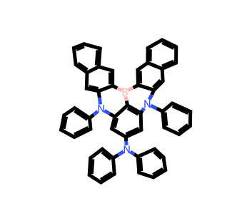 c1ccc(N(c2ccccc2)c2cc3c4c(c2)N(c2ccccc2)c2cc5ccccc5cc2B4c2cc4ccccc4cc2N3c2ccccc2)cc1